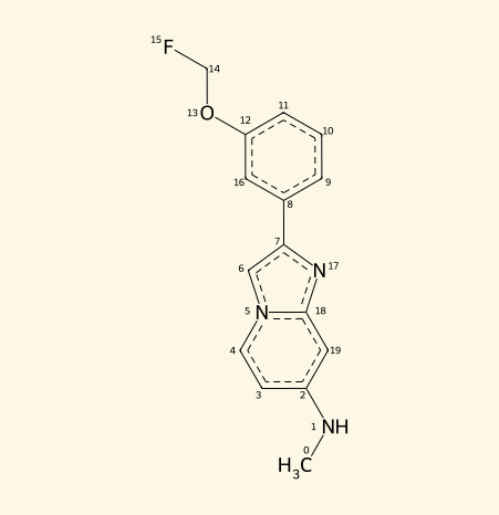 CNc1ccn2cc(-c3cccc(OCF)c3)nc2c1